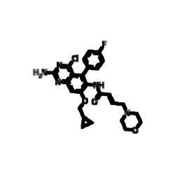 Nc1nc(Cl)c2c(-c3ccc(F)cc3)c(NC(=O)C=CCN3CCOCC3)c(OCC3CC3)cc2n1